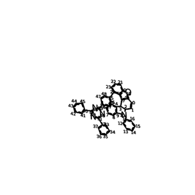 C1=CC2C(c3ccccc3N2c2ccccc2)c2c1oc1cccc(-c3ccc(-c4nc(-c5ccccc5)nc(-c5ccccc5)n4)cc3)c21